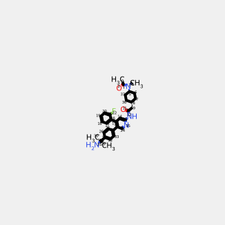 CC(=O)N(C)[C@H]1CC[C@H](CC(=O)Nc2cc(-c3ccccc3F)c(-c3ccc(C(C)(C)N)cc3)cn2)CC1